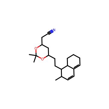 CC1C=CC2=CCCCC2C1CCC1CC(CC#N)OC(C)(C)O1